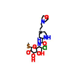 CSC1OC(C(NC(=O)C2CC[C@H](CCCN3CCOCC3)CCN2)C(C)Cl)C(O)C(O)C1=O